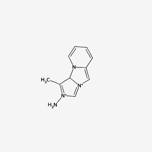 CC1=[N+](N)C=[N+]2C=C3C=CC=CN3C12